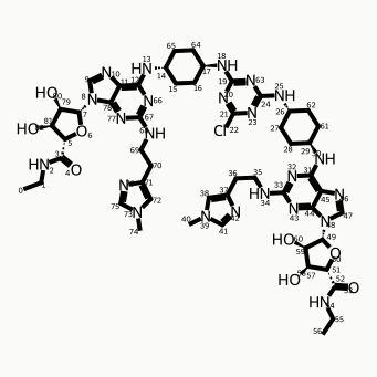 CCNC(=O)[C@H]1O[C@@H](n2cnc3c(N[C@H]4CC[C@H](Nc5nc(Cl)nc(N[C@H]6CC[C@H](Nc7nc(NCCc8cn(C)cn8)nc8c7ncn8[C@@H]7O[C@H](C(=O)NCC)[C@@H](O)[C@H]7O)CC6)n5)CC4)nc(NCCc4cn(C)cn4)nc32)[C@H](O)[C@@H]1O